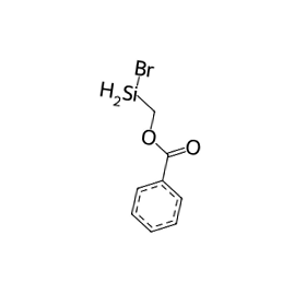 O=C(OC[SiH2]Br)c1ccccc1